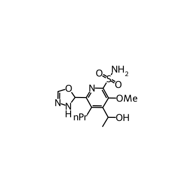 CCCc1c(C2NN=CO2)nc(S(N)(=O)=O)c(OC)c1C(C)O